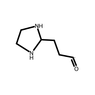 O=[C]CCC1NCCN1